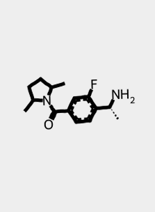 CC1CCC(C)N1C(=O)c1ccc([C@@H](C)N)c(F)c1